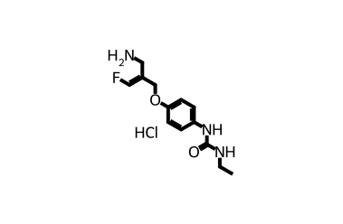 CCNC(=O)Nc1ccc(OCC(=CF)CN)cc1.Cl